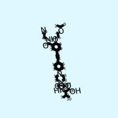 CC(C)OCCOc1ccc(C#Cc2ccc(N3CCN(S(=O)(=O)NC(C(=O)O)C(C)C)CC3)cc2)cc1C(=O)NCC#N